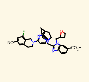 N#Cc1cc(F)c2c(c1)CCN(c1cccc(C34CCN(Cc5nc6ccc(C(=O)O)cc6n5CC5CCO5)CC3C4)n1)C2